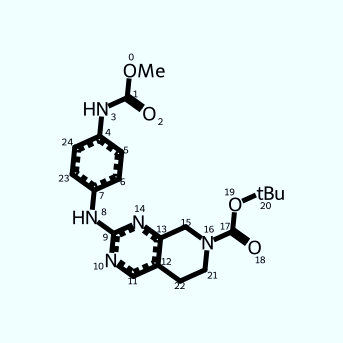 COC(=O)Nc1ccc(Nc2ncc3c(n2)CN(C(=O)OC(C)(C)C)CC3)cc1